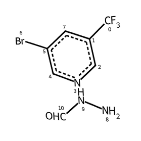 FC(F)(F)c1cncc(Br)c1.NNC=O